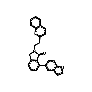 O=C1c2c(cccc2-c2ccc3occc3c2)CN1CCc1ccc2ccccc2n1